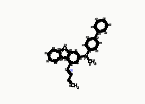 C=C/C=C/c1cc(N(C)c2ccc(-c3ccccc3)cc2)cc2oc3ccccc3c12